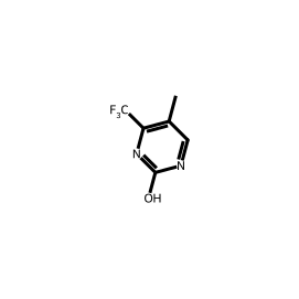 Cc1cnc(O)nc1C(F)(F)F